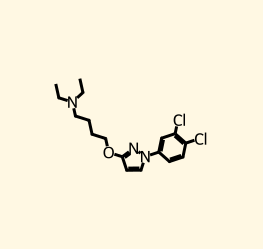 CCN(CC)CCCCOc1ccn(-c2ccc(Cl)c(Cl)c2)n1